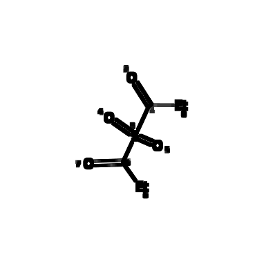 CCC(=O)S(=O)(=O)C(=O)CC